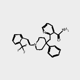 NC(=O)c1cccnc1CC1(c2ccccc2)CCN(C=Cc2ccccc2C(F)(F)F)CC1